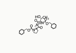 CC(O)C(NC(=O)OCc1ccccc1)C(=O)N1C[C@@]2(CCCN2C(=O)OCc2ccccc2)C1=O